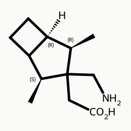 C[C@@H]1[C@@H]2CCC2[C@H](C)C1(CN)CC(=O)O